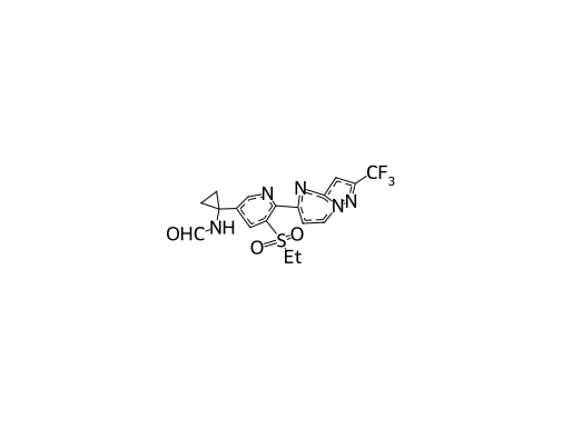 CCS(=O)(=O)c1cc(C2(NC=O)CC2)cnc1-c1ccn2nc(C(F)(F)F)cc2n1